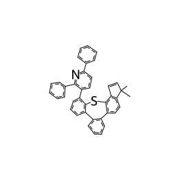 CC1(C)C=Cc2c1ccc1c2Sc2c(cccc2-c2ccc(-c3ccccc3)nc2-c2ccccc2)-c2ccccc2-1